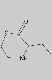 CCC1NCCOC1=O